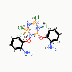 Nc1ccccc1ON1P(Oc2ccccc2N)N(Cl)P(Cl)N=P1(Cl)Cl